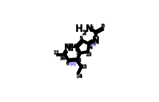 C=C(N)/N=C1\C=CC(/C(=C\C(C)=N)CC)C1